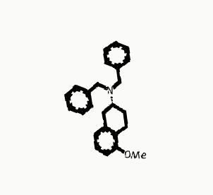 COc1cccc2c1CC[C@@H](N(Cc1ccccc1)Cc1ccccc1)C2